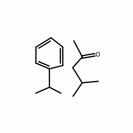 CC(=O)CC(C)C.CC(C)c1ccccc1